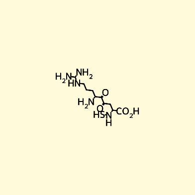 NC(N)NCCC[C@H](N)C(=O)C(=O)CC(NS)C(=O)O